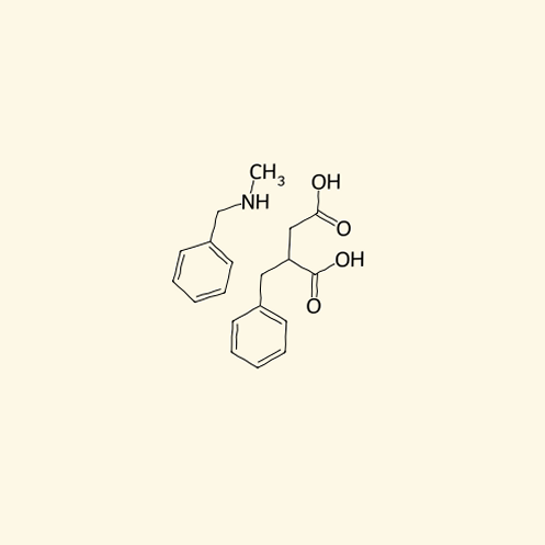 CNCc1ccccc1.O=C(O)CC(Cc1ccccc1)C(=O)O